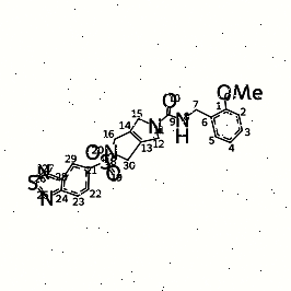 COc1ccccc1CNC(=O)N1CC2=C(C1)CN(S(=O)(=O)c1ccc3nsnc3c1)C2